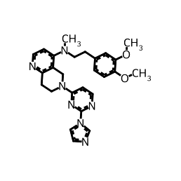 COc1ccc(CCN(C)c2ccnc3c2CN(c2ccnc(-n4ccnc4)n2)CC3)cc1OC